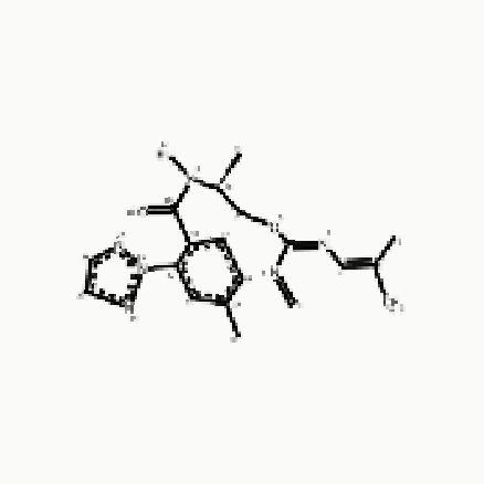 C=N/C(=N\C=C(/C)C(F)(F)F)OC[C@H](C)N(CC)C(=O)c1ccc(C)cc1-n1nccn1